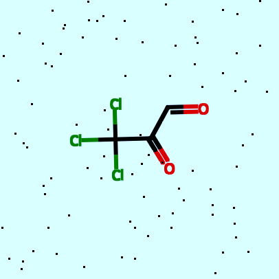 O=CC(=O)C(Cl)(Cl)Cl